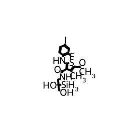 CC(=O)c1sc(Nc2ccc(I)cc2F)c(C(=O)NC[C@](O)([SiH3])CO)c1C